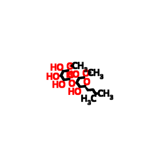 CO[C@H]1O[C@H](O[C@@H]2[C@@H](O)[C@H](CCC(C)C)O[C@H](OC)[C@@H]2O)[C@H](O)[C@@H](O)[C@H]1O